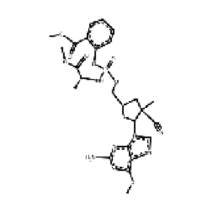 COC(=O)c1ccccc1OP(=O)(N[C@@H](C)C(=O)OC)OCC1CC(C)(C#N)C(n2cnc3c(OC)nc(N)nc32)O1